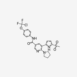 CS(=O)(=O)c1ccc(-c2cc(C(=O)Nc3ccc(OC(F)(F)Cl)cc3)cnc2N2CCCC2)[nH]1